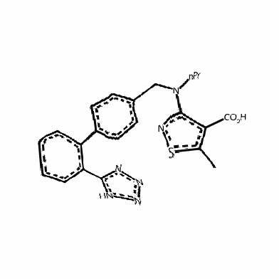 CCCN(Cc1ccc(-c2ccccc2-c2nnn[nH]2)cc1)c1nsc(C)c1C(=O)O